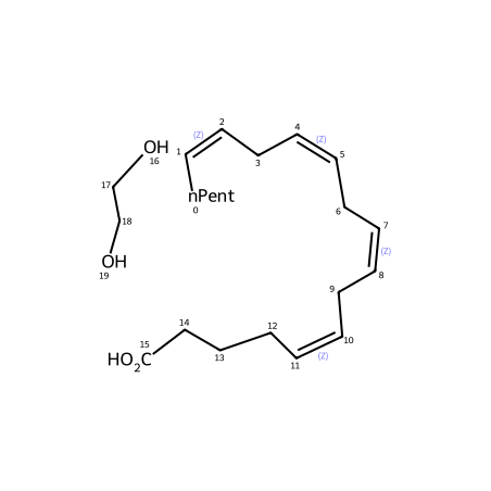 CCCCC/C=C\C/C=C\C/C=C\C/C=C\CCCC(=O)O.OCCO